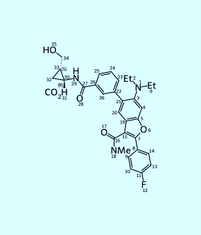 CCN(CC)c1cc2oc(-c3ccc(F)cc3)c(C(=O)NC)c2cc1-c1cccc(C(=O)N[C@]2(C(=O)O)C[C@@H]2CO)c1